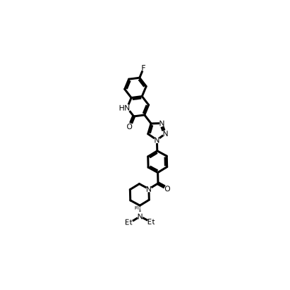 CCN(CC)[C@@H]1CCCN(C(=O)c2ccc(-n3cc(-c4cc5cc(F)ccc5[nH]c4=O)nn3)cc2)C1